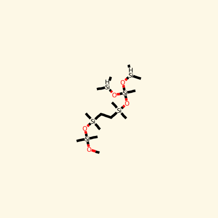 CO[Si](C)(C)O[Si](C)(C)CC[Si](C)(C)O[Si](C)(O[SiH](C)C)O[SiH](C)C